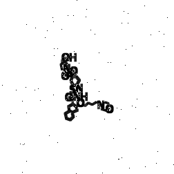 O=C(Nc1nc2ccc(S(=O)(=O)N3CC[C@@H](O)C3)cc2s1)c1cc2ccccc2cc1OCCCCN1CCOCC1